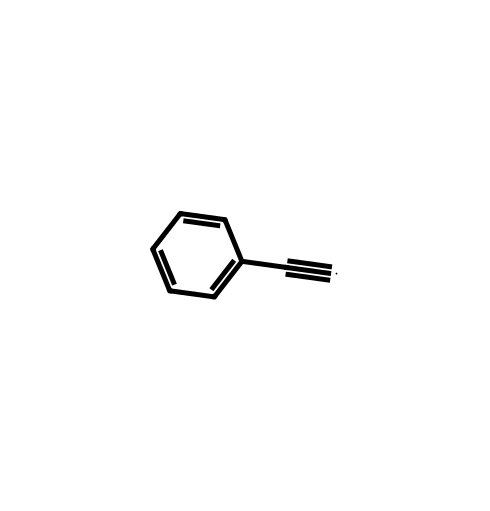 [C]#Cc1ccccc1